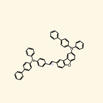 C(=C\c1ccc2oc3ccc(N(c4ccccc4)c4ccc(-c5ccccc5)cc4)cc3c2c1)/c1ccc(N(c2ccccc2)c2ccc(-c3ccccc3)cc2)cc1